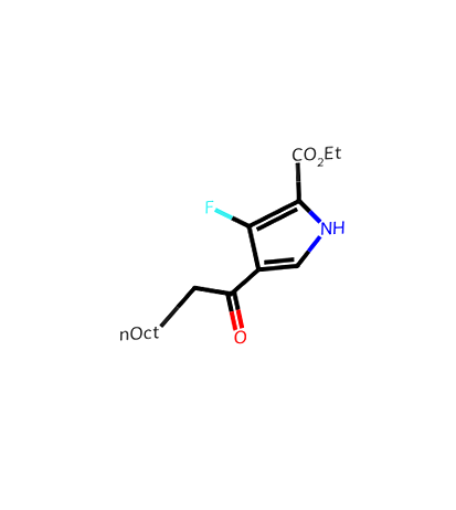 CCCCCCCCCC(=O)c1c[nH]c(C(=O)OCC)c1F